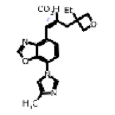 CCC1(C/C(=C\c2ccc(-n3cnc(C)c3)c3ocnc23)C(=O)O)COC1